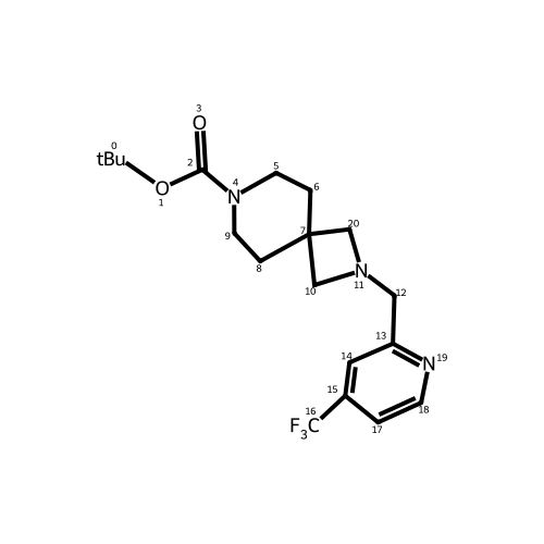 CC(C)(C)OC(=O)N1CCC2(CC1)CN(Cc1cc(C(F)(F)F)ccn1)C2